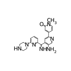 Cn1ccc(-c2cc(C(=N)c3cccc(N4CCNCC4)n3)c(N)cn2)cc1=O